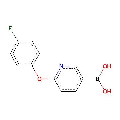 OB(O)c1ccc(Oc2ccc(F)cc2)nc1